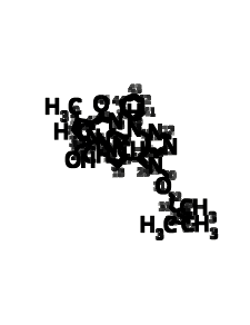 Cc1ccn2nc([C@H](C)Nc3ncnc4c3c(-c3ccn(CC(C)(C)CO)n3)cn4COCC[Si](C)(C)C)n(-c3ccccc3)c(=O)c12